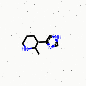 CC1NCCCC1c1c[nH]cn1